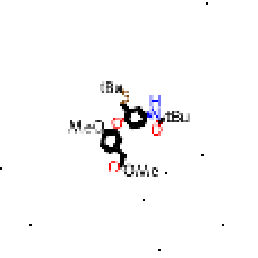 COC(=O)Cc1ccc(OC)c(Oc2ccc(NC(=O)C(C)(C)C)cc2CSC(C)(C)C)c1